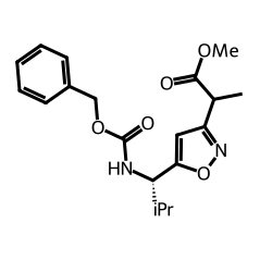 COC(=O)C(C)c1cc([C@@H](NC(=O)OCc2ccccc2)C(C)C)on1